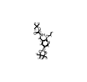 CCOc1ncc(B2OC(C)(C)C(C)(C)O2)cc1CNC(=O)OC(C)(C)C